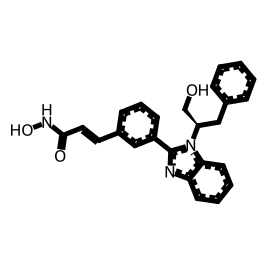 O=C(C=Cc1cccc(-c2nc3ccccc3n2[C@@H](CO)Cc2ccccc2)c1)NO